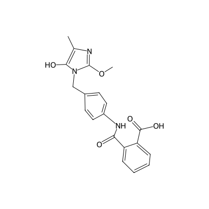 COc1nc(C)c(O)n1Cc1ccc(NC(=O)c2ccccc2C(=O)O)cc1